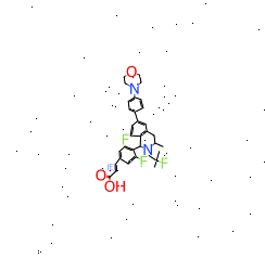 CC1Cc2cc(-c3ccc(N4CCOCC4)cc3)ccc2C(c2c(F)cc(/C=C/C(=O)O)cc2F)N1CC(C)(C)F